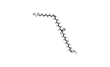 CCCCCCCC/C=C\CCCCCCCC(=O)OCCCCCCCCCCC